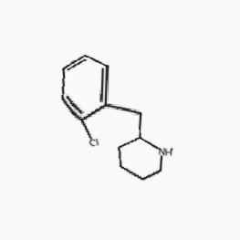 Clc1ccccc1CC1CCCCN1